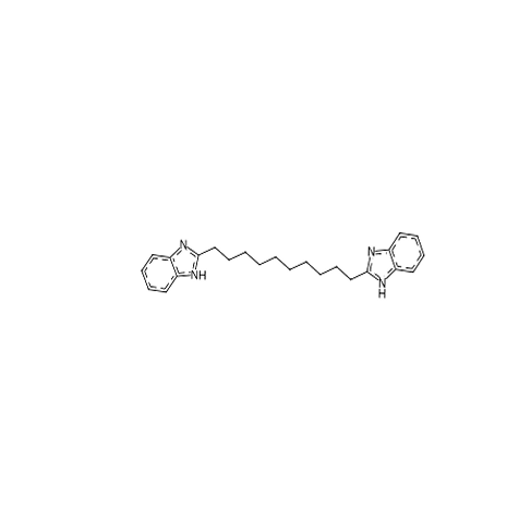 c1ccc2[nH]c(CCCCCCCCCCc3nc4ccccc4[nH]3)nc2c1